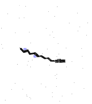 [CH2]CCCCCCCCC/C=C/C/C=C/C